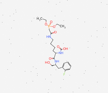 CCOP(=O)(CC(=O)NCCCCC(NC(=O)O)C(=O)N[C@H](CO)Cc1ccccc1F)OCC